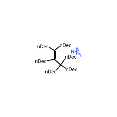 CCCCCCCCCCC(CCCCCCCCCC)=C(CCCCCCCCCC)C(CCCCCCCCCC)(CCCCCCCCCC)CCCCCCCCCC.N.N